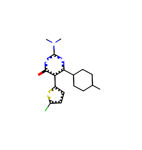 CN(C)c1nc(C2CCC(C(F)(F)F)CC2)c(-c2ccc(Cl)s2)c(=O)[nH]1